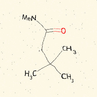 CNC(=O)[CH]C(C)(C)C